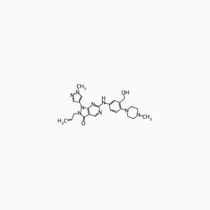 C=CCn1c(=O)c2cnc(Nc3ccc(N4CCN(C)CC4)c(CO)c3)nc2n1-c1cnn(C)c1